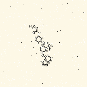 COC(=O)Cc1cccc(Oc2ccc(Oc3cccc4nncn34)cc2C(F)(F)F)c1